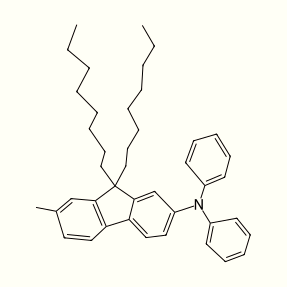 CCCCCCCCC1(CCCCCCCC)c2cc(C)ccc2-c2ccc(N(c3ccccc3)c3ccccc3)cc21